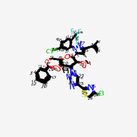 C=C(C)c1cc([C@@H]2OC3COC(c4ccccc4)O[C@@H]3C(n3cc(-c4nc(Cl)cs4)nn3)C2OC)n(-c2cc(Cl)ccc2C(F)(F)F)n1